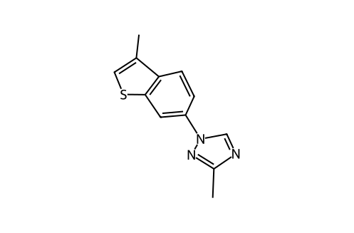 Cc1ncn(-c2ccc3c(C)csc3c2)n1